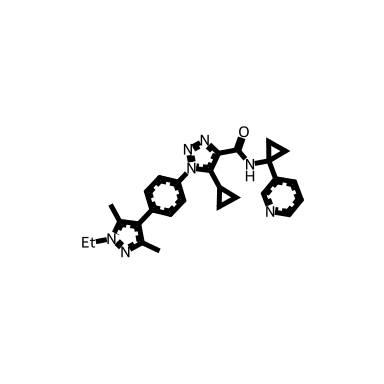 CCn1nc(C)c(-c2ccc(-n3nnc(C(=O)NC4(c5cccnc5)CC4)c3C3CC3)cc2)c1C